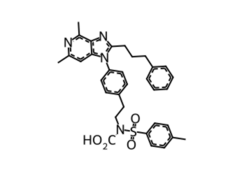 Cc1ccc(S(=O)(=O)N(CCc2ccc(-n3c(CCCc4ccccc4)nc4c(C)nc(C)cc43)cc2)C(=O)O)cc1